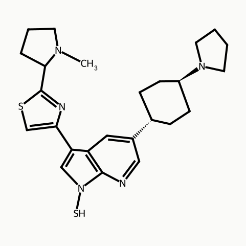 CN1CCCC1c1nc(-c2cn(S)c3ncc([C@H]4CC[C@H](N5CCCC5)CC4)cc23)cs1